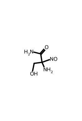 NC(=O)C(N)(CO)N=O